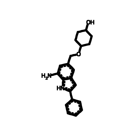 Nc1cc(COC2CCC(O)CC2)cc2cc(-c3ccccc3)[nH]c12